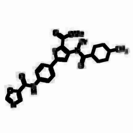 COC(=O)c1sc(-c2ccc(NC(=O)c3cnco3)cc2)cc1N(C(=O)C1CCC(C)CC1)C(C)C